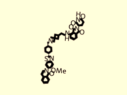 COc1cc2nc([C@H]3CC[C@H](CN4CC5(CC(CCNc6cccc7c6C(=O)N(C6CCC(=O)NC6=O)C7=O)C5)C4)CC3)sc2cc1-n1ccc2ccccc2c1=O